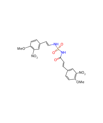 COc1ccc(C=CNS(=O)(=O)NC(=O)C=Cc2ccc(OC)c([N+](=O)[O-])c2)cc1[N+](=O)[O-]